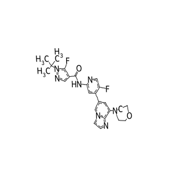 CC(C)(C)n1ncc(C(=O)Nc2cc(-c3cc(N4CCOCC4)c4nccn4c3)c(F)cn2)c1F